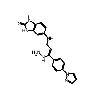 NN/C(=C\CNc1ccc2[nH]c(=S)[nH]c2c1)c1ccc(-n2cccn2)cc1